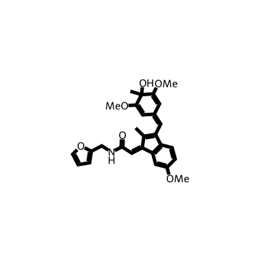 COC1=CC(=CC2=C(C)C(=CC(=O)NCc3ccco3)c3cc(OC)ccc32)C=C(OC)C1(C)O